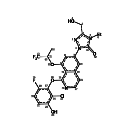 CCn1c(CO)nn(-c2cc(O[C@@H](C)C(F)(F)F)c3c(Oc4c(F)ccc(O)c4Cl)nccc3c2)c1=O